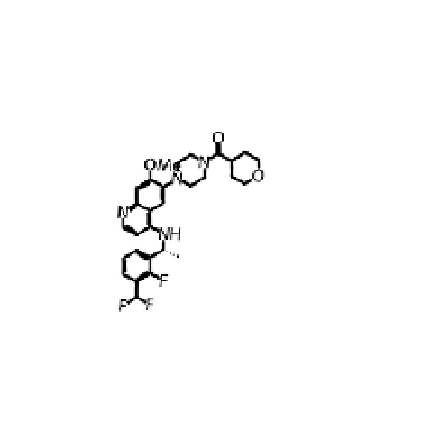 COc1cc2nccc(N[C@H](C)c3cccc(C(F)F)c3F)c2cc1N1CCN(C(=O)C2CCOCC2)CC1